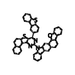 c1ccc2c(c1)ccc1sc3c(-c4ccc5sc6ccccc6c5c4)nc(-n4c5ccccc5c5cc6ccc7c8ccccc8oc7c6cc54)nc3c12